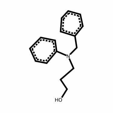 OCCCN(Cc1ccccc1)c1ccccc1